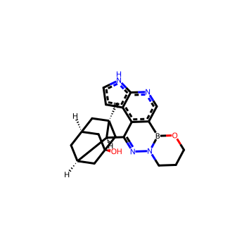 O[C@]12C[C@H]3C[C@H](C1)[C@H](C1=NN4CCCOB4c4cnc5[nH]ccc5c41)[C@@H](C3)C2